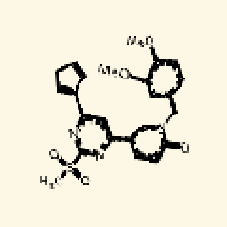 COc1ccc(Cn2cc(-c3cc(C4=CCC=C4)nc(S(C)(=O)=O)n3)ccc2=O)cc1OC